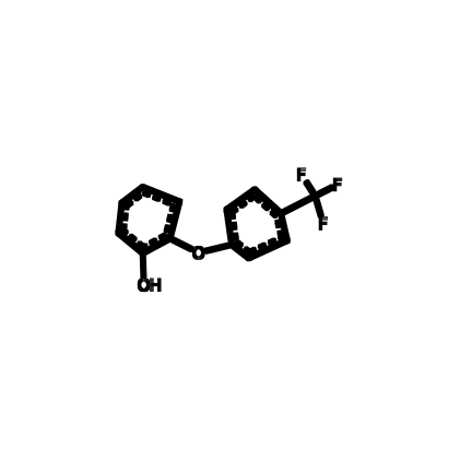 Oc1ccccc1Oc1ccc(C(F)(F)F)cc1